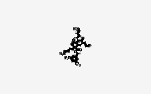 CC(C)CCN1CC2N(C(=O)OCc3cc(C(F)(F)F)cc(C(F)(F)F)c3)C(CCCCN)CC(=O)N2[C@@H](CCCCN)C1=O